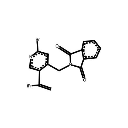 C=C(c1cnc(Br)cc1CN1C(=O)c2ccccc2C1=O)C(C)C